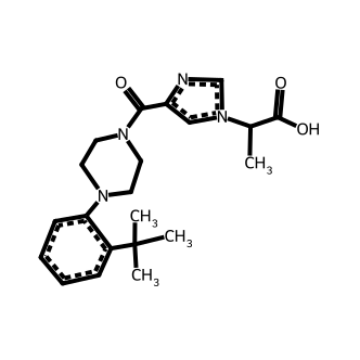 CC(C(=O)O)n1cnc(C(=O)N2CCN(c3ccccc3C(C)(C)C)CC2)c1